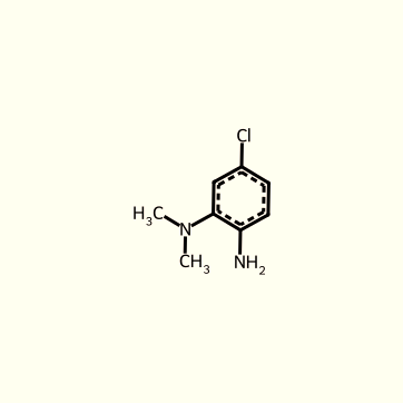 CN(C)c1cc(Cl)ccc1N